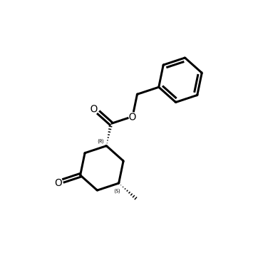 C[C@@H]1CC(=O)C[C@H](C(=O)OCc2ccccc2)C1